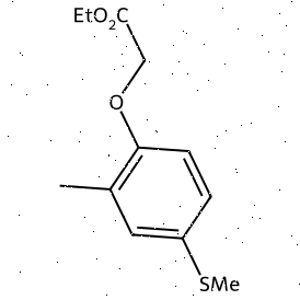 CCOC(=O)COc1ccc(SC)cc1C